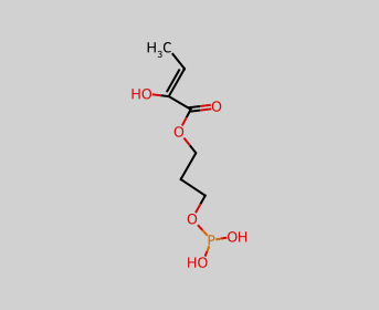 CC=C(O)C(=O)OCCCOP(O)O